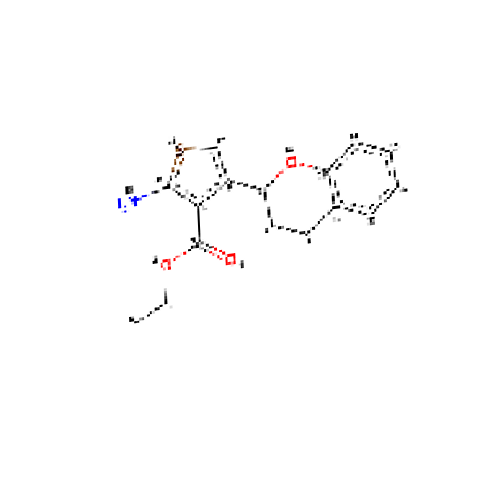 CCOC(=O)c1c(C2CCc3ccccc3O2)csc1N